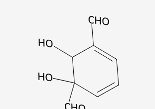 O=CC1=CC=CC(O)(C=O)C1O